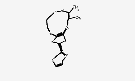 CC1SSCCSC2=C(SC(=C3SC=CS3)S2)SC1C